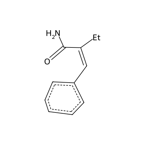 CC/C(=C/c1ccccc1)C(N)=O